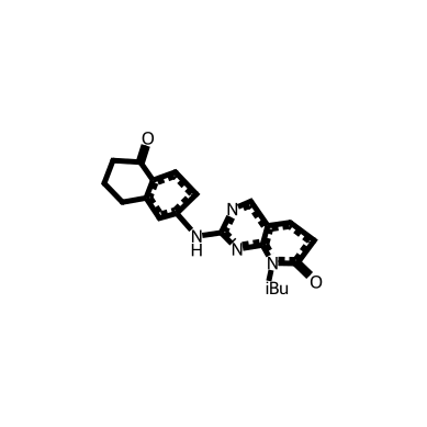 CCC(C)n1c(=O)ccc2cnc(Nc3ccc4c(c3)CCCC4=O)nc21